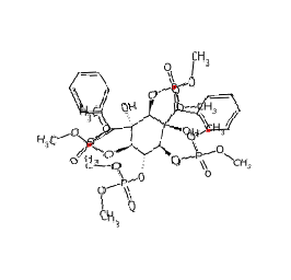 COP(=O)(OC)O[C@@H]1[C@@H](OP(=O)(OC)OC)[C@@](O)(C(=O)c2ccccc2)[C@@H](OP(=O)(OC)OC)[C@](O)(C(=O)c2ccccc2)[C@H]1OP(=O)(OC)OC